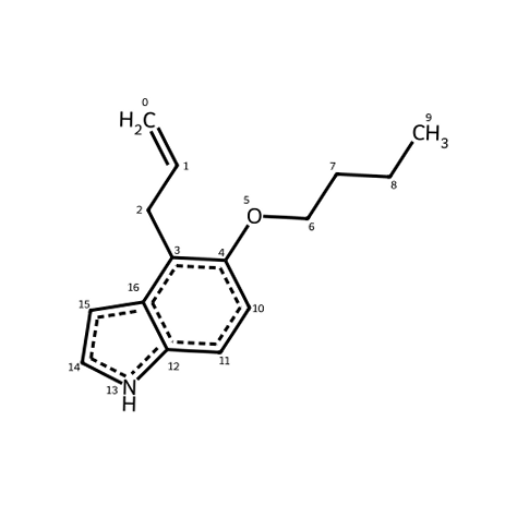 C=CCc1c(OCCCC)ccc2[nH]ccc12